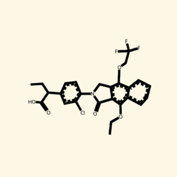 [CH2]CC(C(=O)O)c1ccc(N2Cc3c(c(OCC)c4ccccc4c3OCC(F)(F)F)C2=O)c(Cl)c1